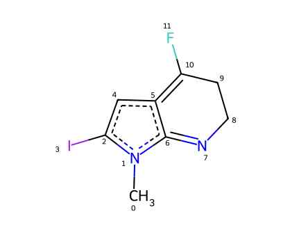 Cn1c(I)cc2c1=NCCC=2F